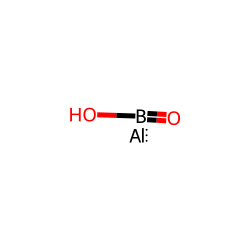 O=BO.[Al]